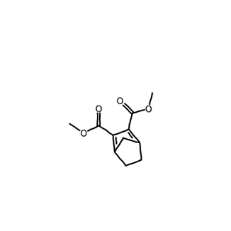 COC(=O)C1=C2CCC(=C1C(=O)OC)C2